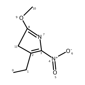 CCC1=C([N+](=O)[O-])N=C(OC)C1